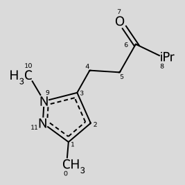 Cc1cc(CCC(=O)C(C)C)n(C)n1